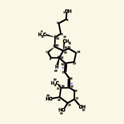 C[C@H](CCCO)[C@H]1CC[C@H]2/C(=C/C=C3/CC(O)C(O)C(O)[C@H]3C)CCC[C@]12C